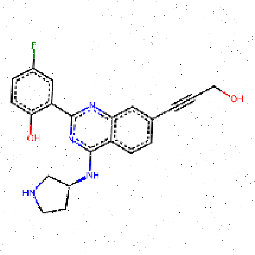 OCC#Cc1ccc2c(N[C@H]3CCNC3)nc(-c3cc(F)ccc3O)nc2c1